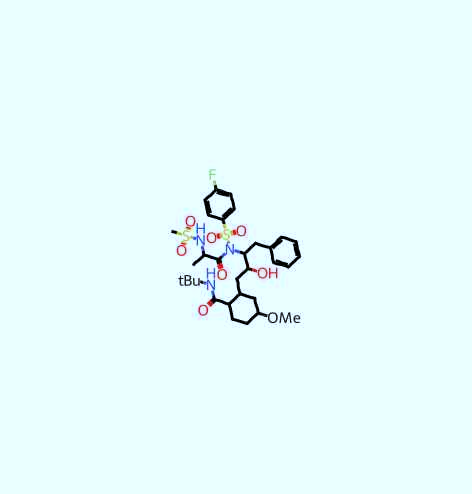 COC1CCC(C(=O)NC(C)(C)C)C(CC(O)C(Cc2ccccc2)N(C(=O)C(C)NS(C)(=O)=O)S(=O)(=O)c2ccc(F)cc2)C1